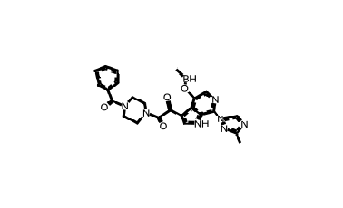 CBOc1cnc(-n2cnc(C)n2)c2[nH]cc(C(=O)C(=O)N3CCN(C(=O)c4ccccc4)CC3)c12